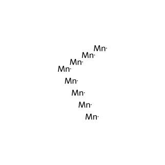 [Mn].[Mn].[Mn].[Mn].[Mn].[Mn].[Mn].[Mn]